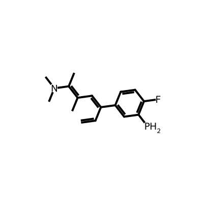 C=C/C(=C\C(C)=C(/C)N(C)C)c1ccc(F)c(P)c1